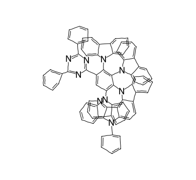 c1ccc(-c2nc(-c3ccccc3)nc(-c3cc(-n4c5ccccc5c5ccccc54)c(-n4c5ccccc5c5ccc6c(c7ncccc7n6-c6ccccc6)c54)c(-n4c5ccccc5c5ccccc54)c3-n3c4ccccc4c4ccccc43)n2)cc1